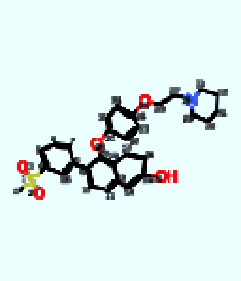 CS(=O)(=O)c1cccc(-c2ccc3cc(O)ccc3c2Oc2ccc(OCCN3CCCCC3)cc2)c1